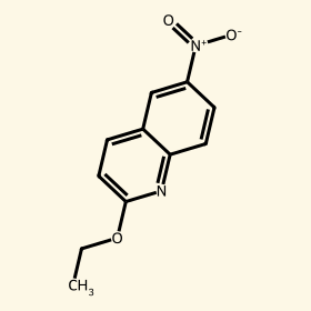 CCOc1ccc2cc([N+](=O)[O-])ccc2n1